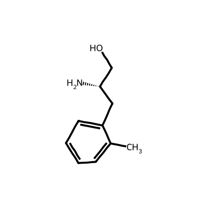 Cc1ccccc1C[C@H](N)CO